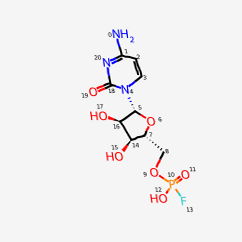 Nc1ccn([C@@H]2O[C@H](COP(=O)(O)F)[C@@H](O)[C@H]2O)c(=O)n1